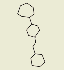 C1CCC(CCN2CCC(C3CCCCCC3)CC2)CC1